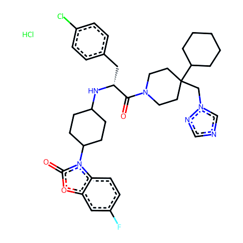 Cl.O=C([C@@H](Cc1ccc(Cl)cc1)NC1CCC(n2c(=O)oc3cc(F)ccc32)CC1)N1CCC(Cn2cncn2)(C2CCCCC2)CC1